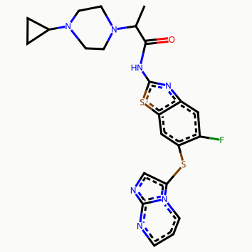 CC(C(=O)Nc1nc2cc(F)c(Sc3cnc4ncccn34)cc2s1)N1CCN(C2CC2)CC1